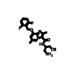 Cc1cc(OCc2c(F)cccc2F)c2nc(C)c(C(=O)NC(CN)CC#N)n2c1